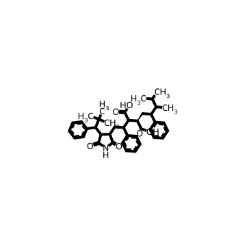 CC(C)C(C)C(C[C@@H](C(=O)O)C(C(=O)O)C(CC1C(=O)NC(=O)C1C(c1ccccc1)C(C)(C)C)c1ccccc1)c1ccccc1